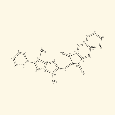 Cn1c(-c2ccccc2)nc2c1cc(C=C1C(=O)c3cc4ccccc4cc3C1=O)n2C(F)(F)F